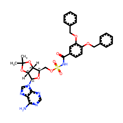 CC1(C)O[C@@H]2[C@H](O1)[C@@H](COS(=O)(=O)NC(=O)c1ccc(OCc3ccccc3)c(OCc3ccccc3)c1)O[C@H]2n1cnc2c(N)ncnc21